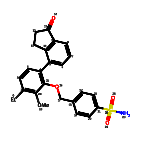 CCc1ccc(-c2cccc3c2CCC3=O)c(OCc2ccc(S(N)(=O)=O)cc2)c1OC